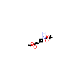 CCOC(=O)/C=C/[C@H]1C[C@H](NC(=O)OC(C)(C)C)C1